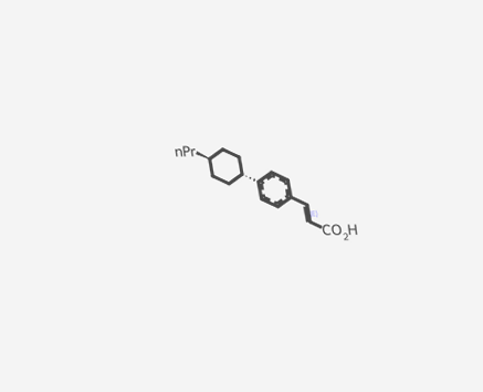 CCC[C@H]1CC[C@H](c2ccc(/C=C/C(=O)O)cc2)CC1